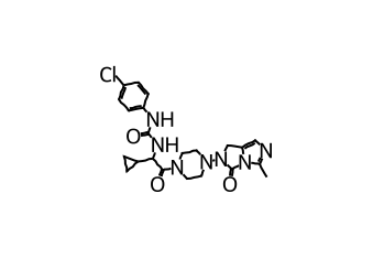 Cc1ncc2n1C(=O)N(N1CCN(C(=O)C(NC(=O)Nc3ccc(Cl)cc3)C3CC3)CC1)C2